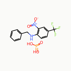 O=[N+]([O-])c1cc(C(F)(F)F)ccc1NCc1ccccc1.O=[PH](O)O